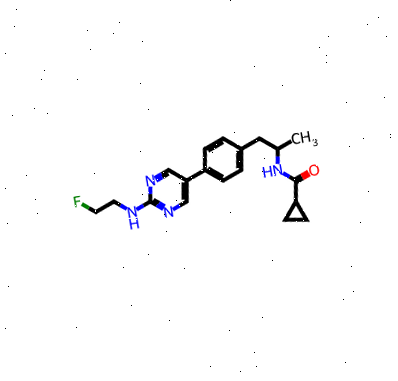 CC(Cc1ccc(-c2cnc(NCCF)nc2)cc1)NC(=O)C1CC1